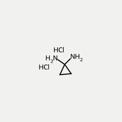 Cl.Cl.NC1(N)CC1